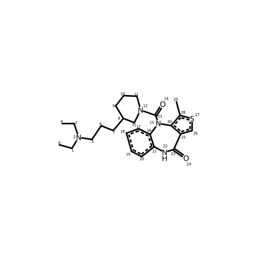 CCN(CC)CCCC1CCCN(C(=O)N2c3ccccc3NC(=O)c3csc(C)c32)C1